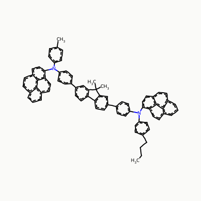 CCCCc1ccc(N(c2ccc(-c3ccc4c(c3)C(C)(C)c3cc(-c5ccc(N(c6ccc(C)cc6)c6ccc7ccc8cccc9ccc6c7c89)cc5)ccc3-4)cc2)c2ccc3ccc4cccc5ccc2c3c45)cc1